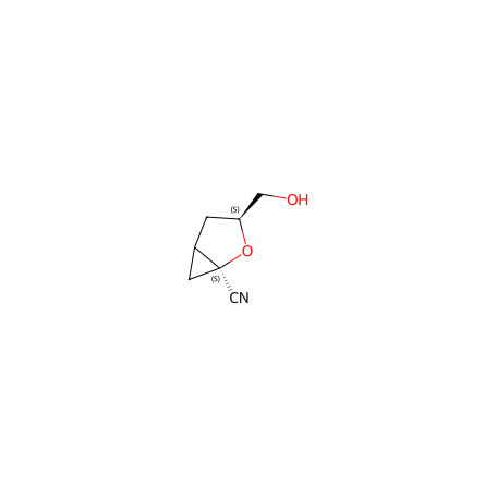 N#C[C@]12CC1C[C@@H](CO)O2